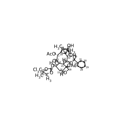 CC(=O)O[C@H]1C(=O)[C@]2(C)[C@@H](OC(=O)OC(C)(C)C(Cl)(Cl)Cl)C[C@H]3OC[C@@]3(OC(C)=O)[C@H]2[C@H](OC(=O)c2ccccc2)[C@]2(O)C[C@H](O)C(C)=C1C2(C)C